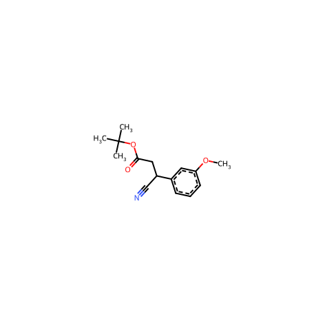 COc1cccc(C(C#N)CC(=O)OC(C)(C)C)c1